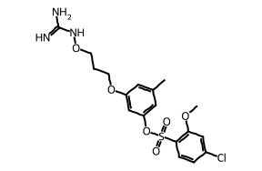 COc1cc(Cl)ccc1S(=O)(=O)Oc1cc(C)cc(OCCCONC(=N)N)c1